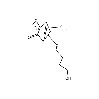 CC1=CC2C(=O)[C@]3(CO3)C1CC2OCCCCO